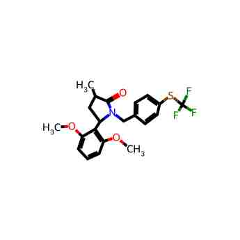 COc1cccc(OC)c1C1CC(C)C(=O)N1Cc1ccc(SC(F)(F)F)cc1